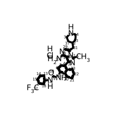 Cc1nc(-c2ccc(NC(=O)Nc3cccc(C(F)(F)F)c3)c3ccccc23)c2c(N)ncc(CC3CCNCC3)n12.Cl